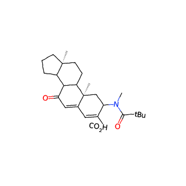 CN(C(=O)C(C)(C)C)C1C[C@@]2(C)C(=CC(=O)C3C4CCC[C@@]4(C)CCC32)C=C1C(=O)O